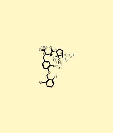 COC(=O)[C@H](Cc1ccc(OCc2c(Cl)cccc2Cl)c([N+](=O)[O-])c1)NC(=O)[C@H]1CC[C@@](C)(C(=O)O)C1(C)C